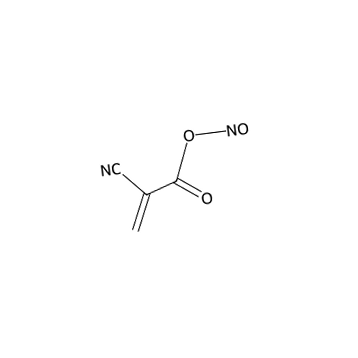 C=C(C#N)C(=O)ON=O